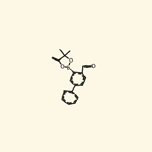 C=C1OB(c2cc(-c3ccccc3)ccc2C=O)OC1(C)C